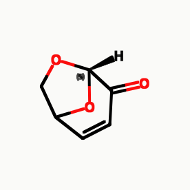 O=C1C=CC2CO[C@H]1O2